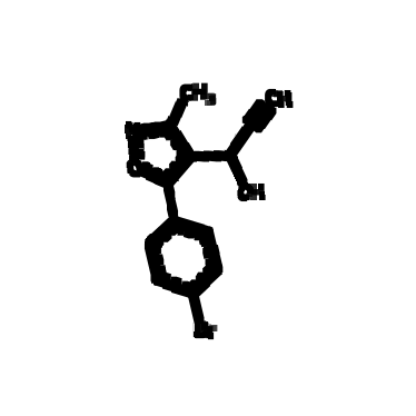 C#CC(O)c1c(C)noc1-c1ccc(Br)cc1